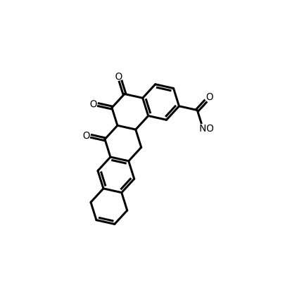 O=NC(=O)c1ccc2c(c1)C1Cc3cc4c(cc3C(=O)C1C(=O)C2=O)CC=CC4